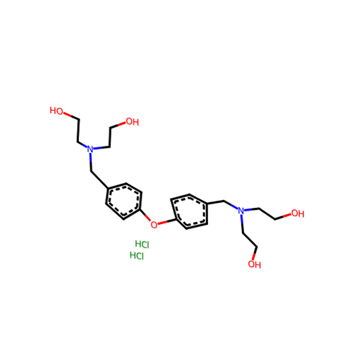 Cl.Cl.OCCN(CCO)Cc1ccc(Oc2ccc(CN(CCO)CCO)cc2)cc1